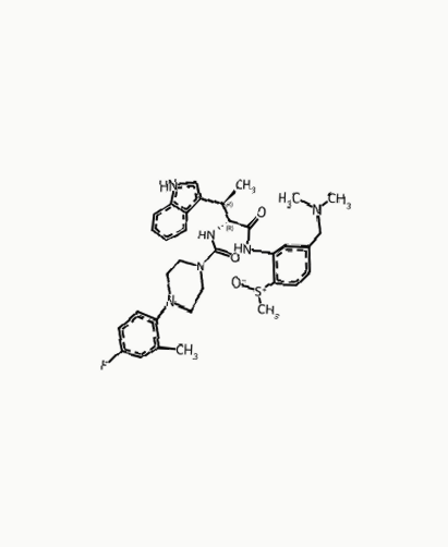 Cc1cc(F)ccc1N1CCN(C(=O)N[C@@H](C(=O)Nc2cc(CN(C)C)ccc2[S+](C)[O-])[C@H](C)c2c[nH]c3ccccc23)CC1